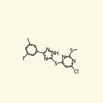 CSc1nc(Cl)cc(Sc2nc(-c3cc(C)cc(I)c3)n[nH]2)n1